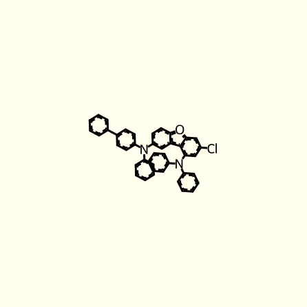 Clc1cc(N(c2ccccc2)c2ccccc2)c2c(c1)oc1ccc(N(c3ccccc3)c3ccc(-c4ccccc4)cc3)cc12